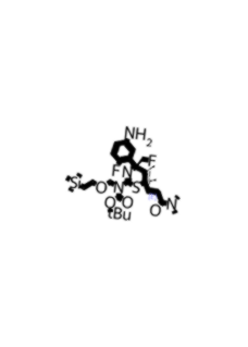 C[C@@H]1[C@@](C)(/C=C/C(=O)N(C)C)SC(N(COCC[Si](C)(C)C)C(=O)OC(C)(C)C)=N[C@]1(CF)c1cc(N)ccc1F